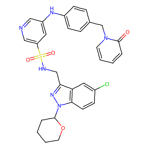 O=c1ccccn1Cc1ccc(Nc2cncc(S(=O)(=O)NCc3nn(C4CCCCO4)c4ccc(Cl)cc34)c2)cc1